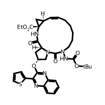 CCOC(=O)[C@@]12C[C@H]1/C=C\CCCCCN(NC(=O)OC(C)(C)C)C(=O)N1C[C@H](Oc3nc4ccccc4nc3-c3cccs3)C[C@H]1C(=O)N2